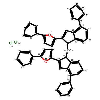 C1=C(c2ccc(-c3ccccc3)o2)[CH]([Zr+2][CH]2C(c3ccc(-c4ccccc4)o3)=Cc3c(-c4ccccc4)cccc32)c2cccc(-c3ccccc3)c21.[Cl-].[Cl-]